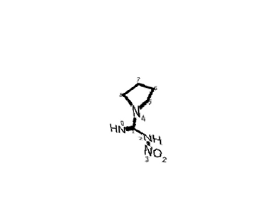 N=C(N[N+](=O)[O-])N1CCCC1